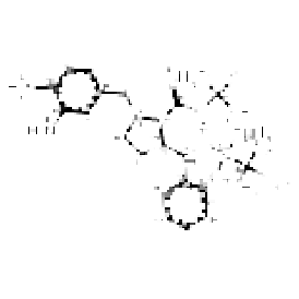 CC(C)(C)OC(=O)N1[C@H](Cc2ccc(N)c(N)c2)CC[C@@H]1[C@H](O[Si](C)(C)C(C)(C)C)c1ccccc1